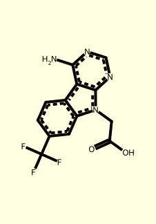 Nc1ncnc2c1c1ccc(C(F)(F)F)cc1n2CC(=O)O